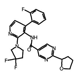 O=C(Nc1c(-c2ccccc2F)ccnc1N1CCC(F)(F)C1)c1cnc(C2CCCO2)nc1